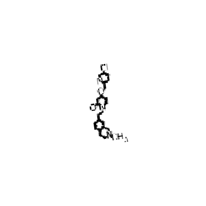 CN1CCc2ccc(CCn3ccc(OCc4ccc(Cl)cn4)cc3=O)cc2C1